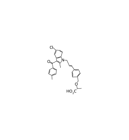 Cc1ccc(C(=O)c2c(C)n(CC=Cc3ccc(CO[C@H](C)C(=O)O)cc3)c3ccc(Cl)cc23)cc1